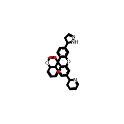 C1=CCC(c2ccc3c(c2)Oc2cc(C4CC=NN4)ccc2C32C3CC=CC=C3OC3C=CC=CC32)N=C1